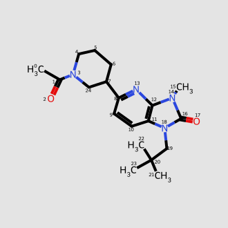 CC(=O)N1CCCC(c2ccc3c(n2)n(C)c(=O)n3CC(C)(C)C)C1